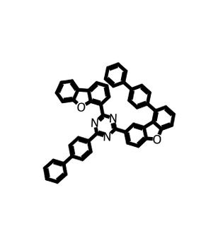 c1ccc(-c2ccc(-c3nc(-c4ccc5oc6cccc(-c7ccc(-c8ccccc8)cc7)c6c5c4)nc(-c4cccc5c4oc4ccccc45)n3)cc2)cc1